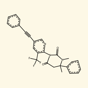 CN1C(=O)N(c2ncc(C#Cc3ccccc3)cc2C(F)(F)F)C(=O)CC1(C)c1ccccc1